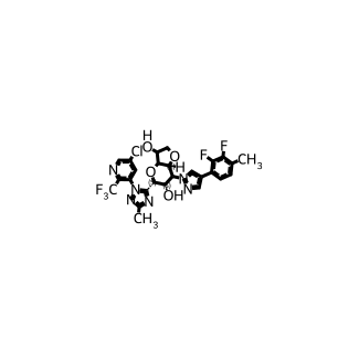 Cc1nc([C@@H]2OC3C(O)CO[C@@H]3C(n3cc(-c4ccc(C)c(F)c4F)cn3)[C@@H]2O)n(-c2cc(Cl)cnc2C(F)(F)F)n1